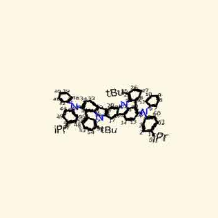 CC(C)c1ccc(N(c2ccccc2)c2ccc3c4cc5c(cc4n4c6c(C(C)(C)C)cccc6c2c34)c2ccc(N(c3ccccc3)c3ccc(C(C)C)cc3)c3c4cccc(C(C)(C)C)c4n5c23)cc1